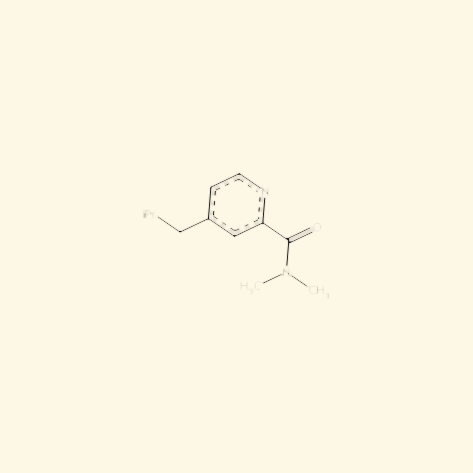 CC(C)Cc1ccnc(C(=O)N(C)C)c1